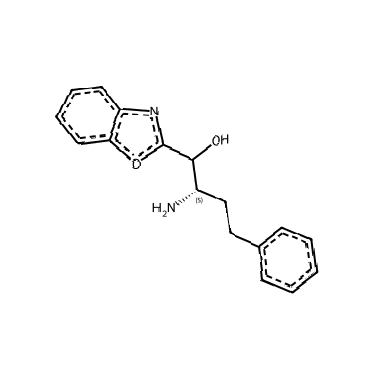 N[C@@H](CCc1ccccc1)C(O)c1nc2ccccc2o1